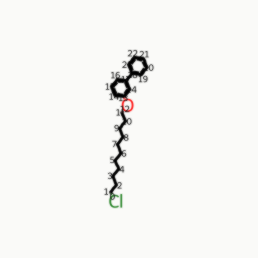 ClCCCCCCCCCCCOc1cccc(-c2ccccc2)c1